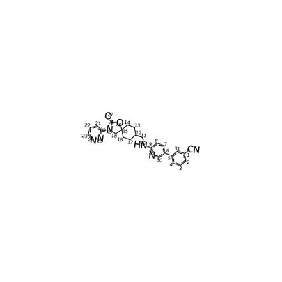 N#Cc1cccc(-c2ccc(NCC3CCC4(CC3)CN(c3cccnn3)C(=O)O4)nc2)c1